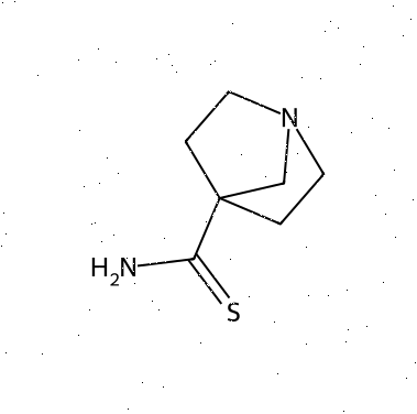 NC(=S)C12CCN(CC1)C2